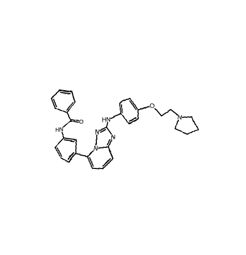 O=C(Nc1cccc(-c2cccc3nc(Nc4ccc(OCCN5CCCC5)cc4)nn23)c1)c1ccccc1